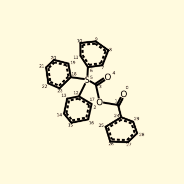 O=C(OC(=O)S(c1ccccc1)(c1ccccc1)c1ccccc1)c1ccccc1